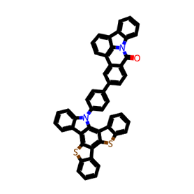 O=c1c2ccc(-c3ccc(-n4c5ccccc5c5c6sc7ccccc7c6c6sc7ccccc7c6c54)cc3)cc2c2cccc3c4ccccc4n1c23